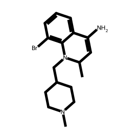 CC1C=C(N)c2cccc(Br)c2N1CC1CCN(C)CC1